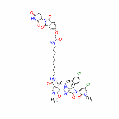 COc1ncc(C(=O)NCCCCCCCCCCNC(=O)COc2ccc3c(c2)C(=O)N(C2CCC(=O)NC2=O)C3=O)cc1-c1nc2c(n1C(C)C)[C@@H](c1ccc(Cl)cc1)N(c1cc(Cl)cn(C)c1=O)C2=O